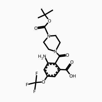 CC(C)(C)OC(=O)N1CCN(C(=O)c2c(N)cc(OC(F)(F)F)cc2C(=O)O)CC1